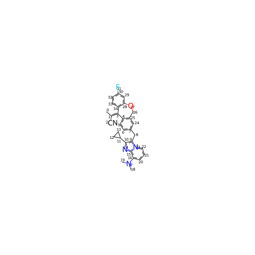 C/C(C#N)=C1/c2ccc(Cc3c(C4CC4)nc4c(N(C)C)cccn34)cc2COc2cc(F)ccc21